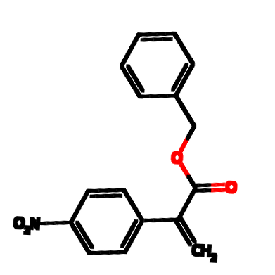 C=C(C(=O)OCc1ccccc1)c1ccc([N+](=O)[O-])cc1